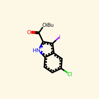 CC(C)COC(=O)c1[nH]c2ccc(Cl)cc2c1I